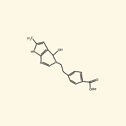 COC(=O)c1ccc(CCN2C=Nc3[nH]c(C)cc3C2O)cc1